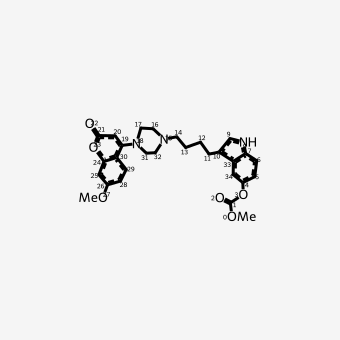 COC(=O)Oc1ccc2[nH]cc(CCCCN3CCN(c4cc(=O)oc5cc(OC)ccc45)CC3)c2c1